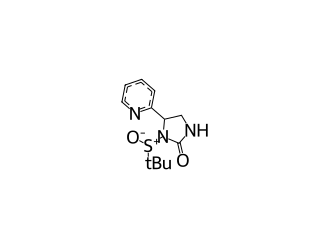 CC(C)(C)[S+]([O-])N1C(=O)NCC1c1ccccn1